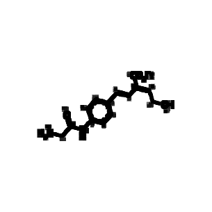 CCOC(=O)C(/C=C/c1ccc(NC(=O)CN)cc1)=C/CO